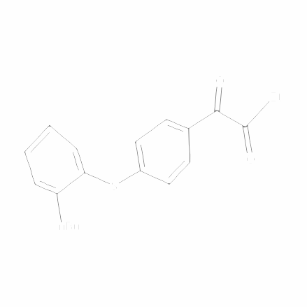 CCCCc1ccccc1Sc1ccc(C(=O)C(=O)CC)cc1